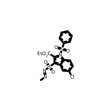 CCOC(=O)c1c(S(=O)(=O)N=NC)c2cc(Cl)ccc2n1S(=O)(=O)c1ccccc1